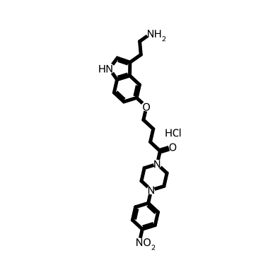 Cl.NCCc1c[nH]c2ccc(OCCCC(=O)N3CCN(c4ccc([N+](=O)[O-])cc4)CC3)cc12